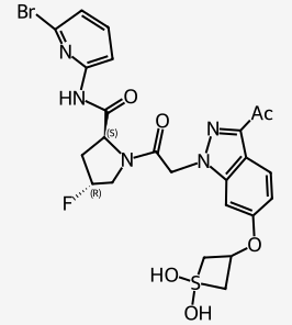 CC(=O)c1nn(CC(=O)N2C[C@H](F)C[C@H]2C(=O)Nc2cccc(Br)n2)c2cc(OC3CS(O)(O)C3)ccc12